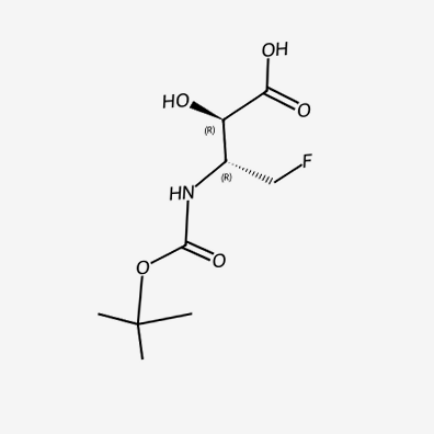 CC(C)(C)OC(=O)N[C@@H](CF)[C@@H](O)C(=O)O